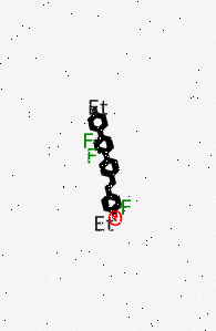 CCOc1ccc(CCc2ccc(-c3ccc(C4CCC(CC)CC4)c(F)c3F)cc2)cc1F